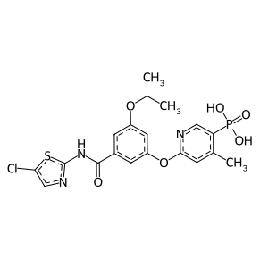 Cc1cc(Oc2cc(OC(C)C)cc(C(=O)Nc3ncc(Cl)s3)c2)ncc1P(=O)(O)O